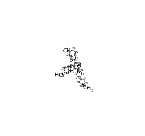 CN1CCC(C2CCN(C(=O)[C@@H](CN3CCOCC3)NC(=O)c3cc4ccc(Cl)cc4s3)CC2)CC1.Cl